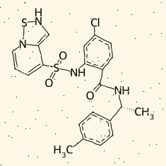 Cc1ccc([C@@H](C)NC(=O)c2ccc(Cl)cc2NS(=O)(=O)C2=CC=CN3SNC=C23)cc1